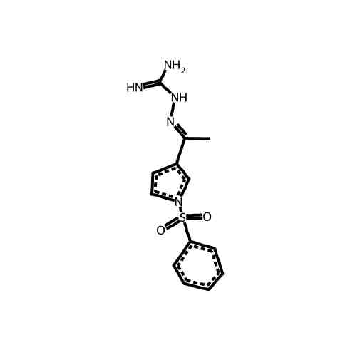 CC(=NNC(=N)N)c1ccn(S(=O)(=O)c2ccccc2)c1